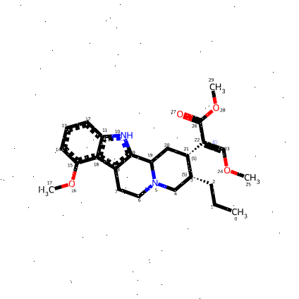 CCC[C@@H]1CN2CCc3c([nH]c4cccc(OC)c34)C2C[C@@H]1/C(=C\OC)C(=O)OC